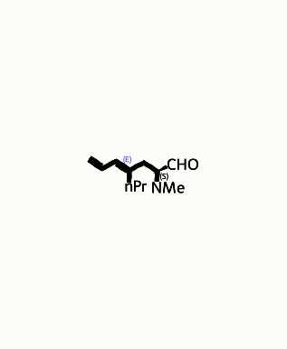 C=C/C=C(\CCC)C[C@@H](C=O)NC